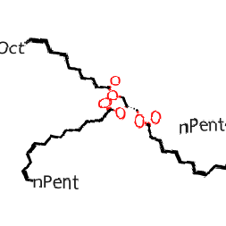 CCCCC/C=C\C/C=C\C/C=C\CCCCCCC(=O)OC[C@@H](COC(=O)CCCCCCC/C=C\CCCCCCCC)OC(=O)CCCCCCC/C=C\C/C=C\CCCCC